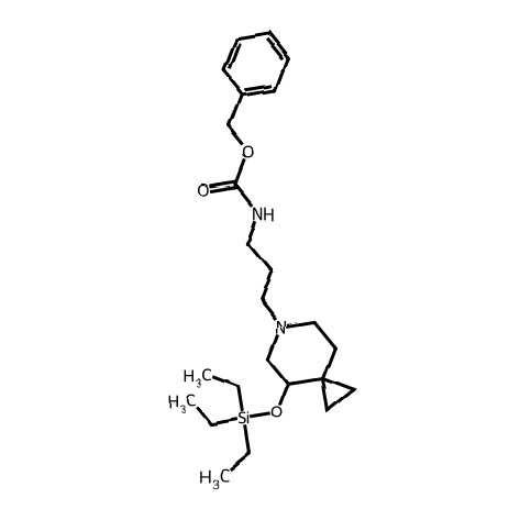 CC[Si](CC)(CC)OC1CN(CCCNC(=O)OCc2ccccc2)CCC12CC2